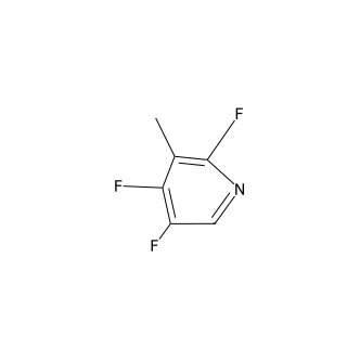 Cc1c(F)ncc(F)c1F